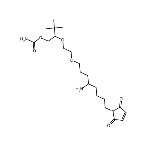 CC(C)(C)C(COC(N)=O)OCCOCCCC(N)CCCCN1C(=O)C=CC1=O